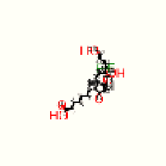 O=C(O)CCCCCC[C@H]1C(=O)C[C@H]2O[C@@](O)(C(F)(F)CCCO)CC[C@@H]21